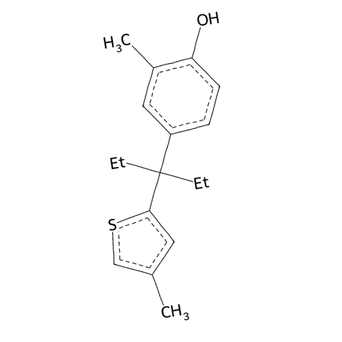 CCC(CC)(c1ccc(O)c(C)c1)c1cc(C)cs1